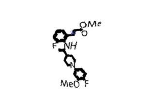 C=C(Nc1c(F)cccc1/C=C/C(=O)OC)C1CCN(c2ccc(F)c(OC)c2)CC1